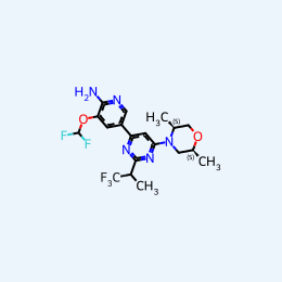 CC(c1nc(-c2cnc(N)c(OC(F)F)c2)cc(N2C[C@H](C)OC[C@@H]2C)n1)C(F)(F)F